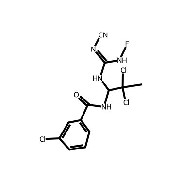 CC(Cl)(Cl)C(NC(=O)c1cccc(Cl)c1)NC(=NC#N)NF